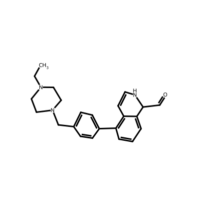 CCN1CCN(Cc2ccc(-c3cccc4c3C=CNC4C=O)cc2)CC1